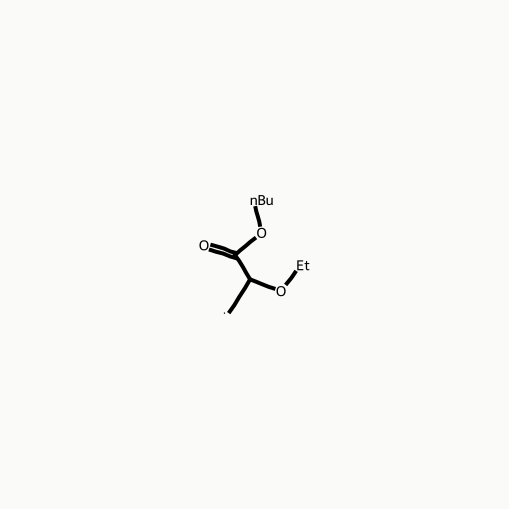 [CH2]C(OCC)C(=O)OCCCC